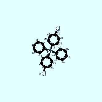 Clc1cc[c]([Pb]([c]2ccccc2)([c]2ccccc2)[c]2ccc(Cl)cc2)cc1